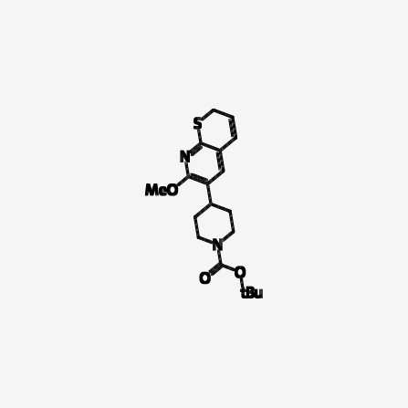 COc1nc2c(cc1C1CCN(C(=O)OC(C)(C)C)CC1)C=CCS2